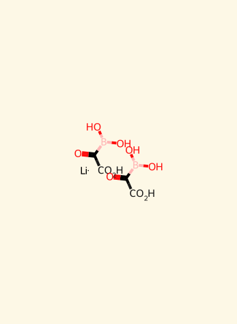 O=C(O)C(=O)B(O)O.O=C(O)C(=O)B(O)O.[Li]